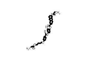 C=CC(=O)OCCCCOc1ccc(C(=O)Oc2ccc(OC(=O)c3ccc4cc5cc(OC(=O)C=C)ccc5cc4c3)c(CC)c2)cc1